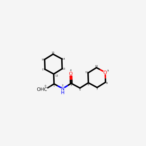 O=CC(NC(=O)CC1CCOCC1)C1CCCCC1